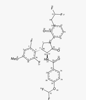 COc1cc(F)c([C@@H]2CN(c3cccn(CC(F)F)c3=O)C(=O)[C@H]2NC(=O)c2ccc(OC(F)F)cc2)c(F)c1